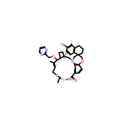 C/C1=C\CCC(C)SNC(=O)c2ccc3c(c2)N(C[C@@H]2CCC2C1OCc1ncccn1)CC1(CCCc2c1ccc(Cl)c2F)CO3